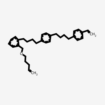 C=CCCCOCc1ccccc1CCCCc1ccc(CCCCc2ccc(C=C)cc2)cc1